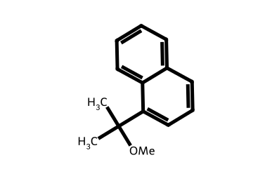 COC(C)(C)c1cccc2ccccc12